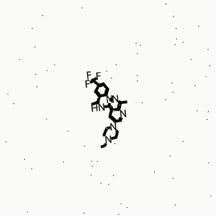 CCN1CCN(c2cnc3c(C)nnc(NC(C)c4cccc(C(F)(F)F)c4)c3c2)CC1